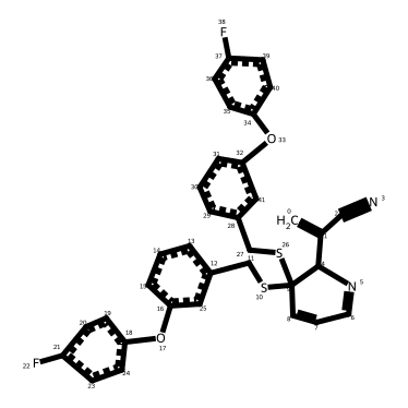 C=C(C#N)C1N=CC=CC1(SCc1cccc(Oc2ccc(F)cc2)c1)SCc1cccc(Oc2ccc(F)cc2)c1